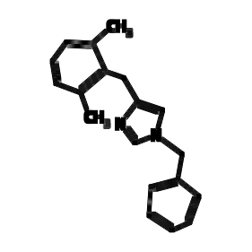 Cc1cccc(C)c1Cc1cn(Cc2ccccc2)cn1